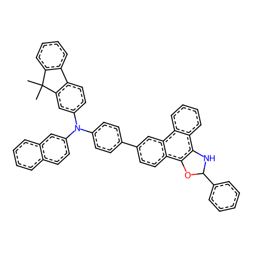 CC1(C)c2ccccc2-c2ccc(N(c3ccc(-c4ccc5c6c(c7ccccc7c5c4)NC(c4ccccc4)O6)cc3)c3ccc4ccccc4c3)cc21